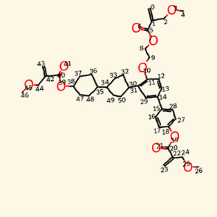 C=C(COC)C(=O)OCCOc1ccc(-c2ccc(OC(=O)C(=C)COC)cc2)cc1C1CCC(C2CCC(OC(=O)C(=C)COC)CC2)CC1